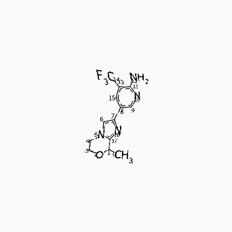 CC1OCCn2cc(-c3cnc(N)c(C(F)(F)F)c3)nc21